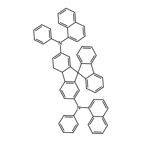 C1=C(N(c2ccccc2)c2cccc3ccccc23)C=C2C(C1)c1ccc(N(c3ccccc3)c3cccc4ccccc34)cc1C21c2ccccc2-c2ccccc21